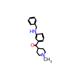 CN1CCC(C(=O)c2cccc(NCc3ccccc3)c2)CC1